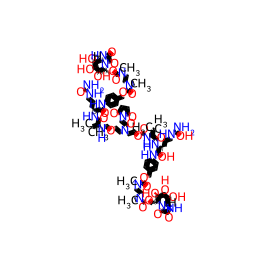 CC(C)[C@H](NCOCCN(CCOC(=O)N[C@H](C(=O)N[C@@H](CCCNC(N)O)C(O)Nc1ccc(COC(=O)N(C)CCN(C)C(=O)OC[C@@H]2[C@@H](O)[C@H](O)[C@H](O)[C@H]3NC(=O)C(=O)N23)cc1)C(C)C)C(=O)CN1C(=O)CCC1=O)C(=O)N[C@@H](CCCNC(N)=O)C(=O)Nc1ccc(COC(=O)N(C)CCN(C)C(=O)OC[C@@H]2[C@@H](O)[C@H](O)[C@H](O)[C@H]3NC(=O)C(=O)N23)cc1